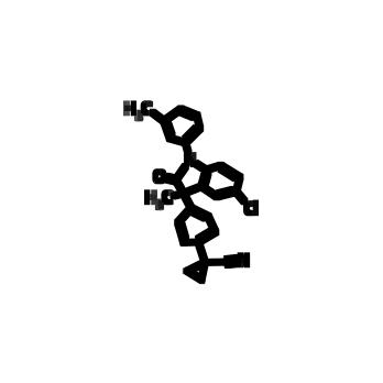 Cc1cccc(N2C(=O)C(C)(c3ccc(C4(C#N)CC4)cc3)c3cc(Cl)ccc32)c1